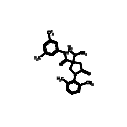 Cc1cccc(C)c1N1CC(C(=O)Nc2cc(C(F)(F)F)cc(C(F)(F)F)c2)(N(C)C)CC1=O